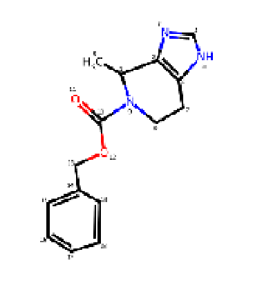 CC1c2nc[nH]c2CCN1C(=O)OCc1ccccc1